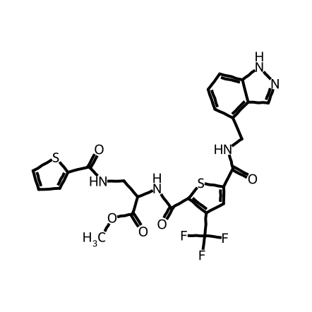 COC(=O)C(CNC(=O)c1cccs1)NC(=O)c1sc(C(=O)NCc2cccc3[nH]ncc23)cc1C(F)(F)F